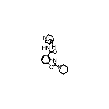 O=C(N[C@@H]1CN2CCC1CC2)c1cccc2oc(N3CCCCC3)nc12